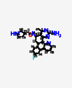 Cc1nc(N)nc2c1/C(=N/OC[C@@H]1CCNC1)CC(c1ccc(F)cc1-c1cccnc1)C2